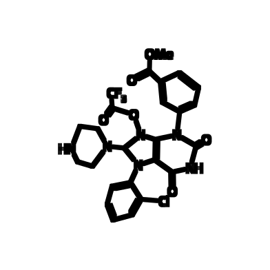 COC(=O)c1cccc(-n2c3c(c(=O)[nH]c2=O)N(c2ccccc2Cl)C(N2CCNCC2)N3OC(=O)C(F)(F)F)c1